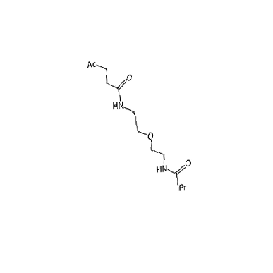 CC(=O)CCC(=O)NCCOCCNC(=O)C(C)C